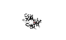 CC(C)C1C(=O)O[C@H](C)[C@H](NC(=O)c2ccccc2O)C(=O)N[C@@H](Cc2c(F)nc(F)c(F)c2F)[C@@H](O)[C@@H](C)C(=O)N1C